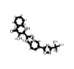 Cc1c(-c2nc3ccc(-c4nc(C(F)(F)F)no4)cn3n2)[nH]c2ccccc2c1=O